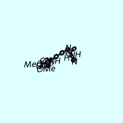 COC(=O)N[C@H](C(=O)N1CCC[C@H]1c1ncc(-c2ccc(-c3ccc(-c4cnc([C@@H]5C6CCC(C6)[C@H]5C(=O)NCc5ccncc5)[nH]4)cc3)cc2)[nH]1)[C@@H](C)OC